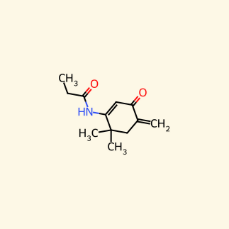 C=C1CC(C)(C)C(NC(=O)CC)=CC1=O